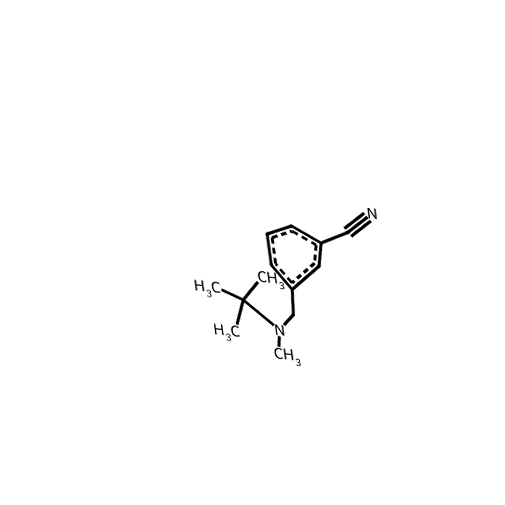 CN(Cc1cccc(C#N)c1)C(C)(C)C